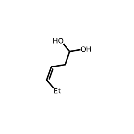 CC/C=C\CC(O)O